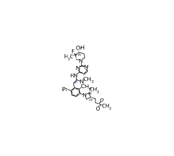 C=N/C(=C\c1c(C(C)C)ccc(N2C[C@H](CCS(C)(=O)=O)[C@H]2C)c1C)Nc1ccnc(N2CC[C@@H](O)[C@](C)(F)C2)n1